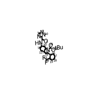 Cn1ncnc1C(=O)Nc1ccc2cc(-c3ccccc3C(F)F)n(C(=O)OC(C)(C)C)c2c1